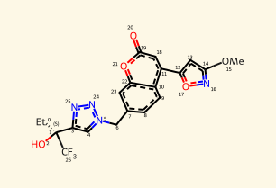 CC[C@](O)(c1cn(Cc2ccc3c(-c4cc(OC)no4)cc(=O)oc3c2)nn1)C(F)(F)F